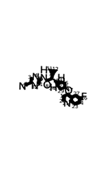 N#Cc1cnc(NC(=O)C(C2CC2)[C@@H]2[C@@H]3C[C@@H](Oc4ccnc5ccc(F)cc45)C[C@@H]32)cn1